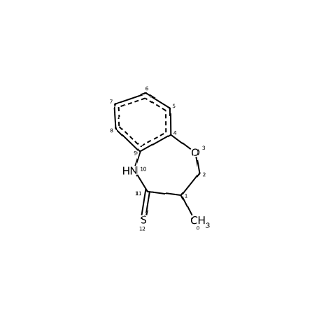 CC1COc2ccccc2NC1=S